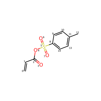 C=CC(=O)OS(=O)(=O)c1ccc(C)cc1